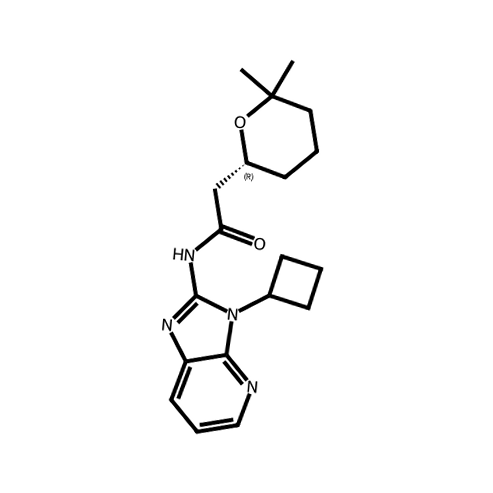 CC1(C)CCC[C@H](CC(=O)Nc2nc3cccnc3n2C2CCC2)O1